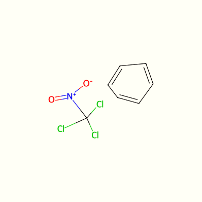 O=[N+]([O-])C(Cl)(Cl)Cl.c1ccccc1